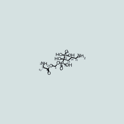 C[C@H](N)C(=O)OCOP(=O)(O)C(O)(CCCN)P(=O)(O)O